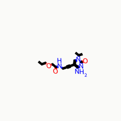 CCCOCC(=O)NCC#Cc1cn(C(C)C)c(=O)nc1N